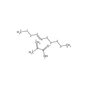 C=C(C)C(=O)O.CCCC=CCCCCC